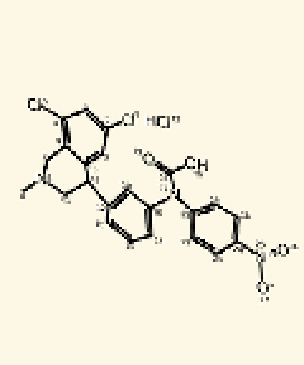 CN1Cc2c(Cl)cc(Cl)cc2C(c2cccc(N(C(=O)O)c3ccc([N+](=O)[O-])cc3)c2)C1.Cl